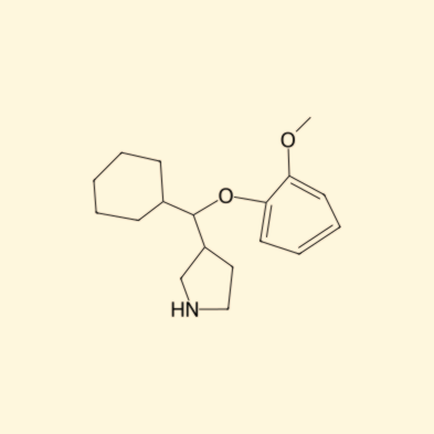 COc1ccccc1OC(C1CCCCC1)C1CCNC1